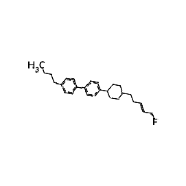 CCCCc1ccc(-c2ccc(C3CCC(CC/C=C/CF)CC3)cc2)cc1